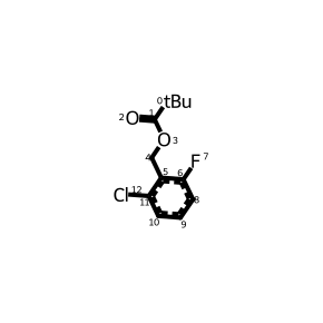 CC(C)(C)C(=O)OCc1c(F)cccc1Cl